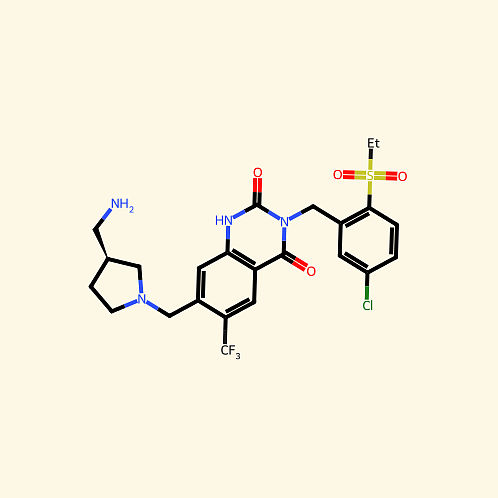 CCS(=O)(=O)c1ccc(Cl)cc1Cn1c(=O)[nH]c2cc(CN3CC[C@@H](CN)C3)c(C(F)(F)F)cc2c1=O